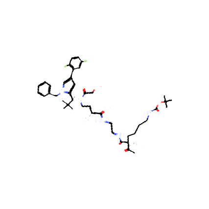 CC(=O)[C@](N)(CCCCNC(=O)OC(C)(C)C)C(=O)NCCNC(=O)[C@@H](N)CCN(C(=O)CO)[C@@H](c1cc(-c2cc(F)ccc2F)cn1Cc1ccccc1)C(C)(C)C